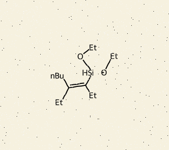 CCCCC(CC)=C(CC)[SiH](OCC)OCC